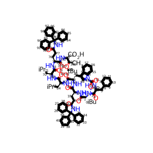 CC[C@H](C)[C@H](NC(=O)[C@@H](N)Cc1ccccc1)C(=O)N[C@@H](CCC(=O)NC(c1ccccc1)(c1ccccc1)c1ccccc1)C(=O)N[C@@H](Cc1cn(C(=O)OC(C)(C)C)c2ccccc12)C(=O)N[C@@H](CC(C)C)C(=O)N[C@@H](CC(C)C)C(=O)N[C@@H](CCC(=O)NC(c1ccccc1)(c1ccccc1)c1ccccc1)C(=O)N[C@H](C(=O)O)[C@@H](C)OC(C)(C)C